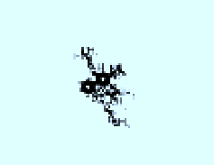 CNCCNCc1cc(-c2ncco2)ccc1-c1ccccc1S(=O)(=O)N(COCCOC)c1onc(C)c1C